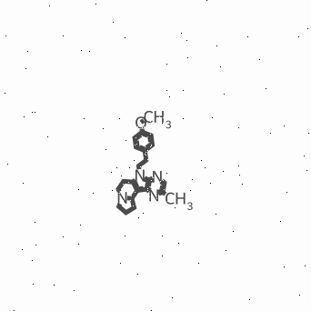 COc1ccc(CCn2c3c(c4nc(C)cnc42)C2CCCN2CC3)cc1